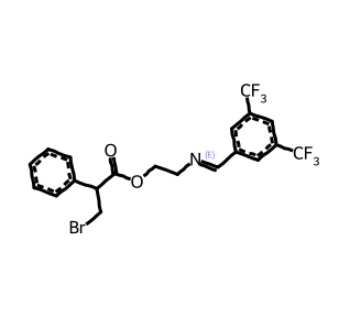 O=C(OCC/N=C/c1cc(C(F)(F)F)cc(C(F)(F)F)c1)C(CBr)c1ccccc1